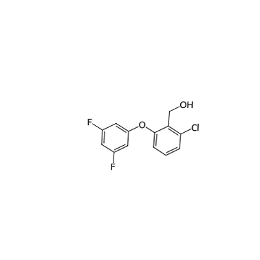 OCc1c(Cl)cccc1Oc1cc(F)cc(F)c1